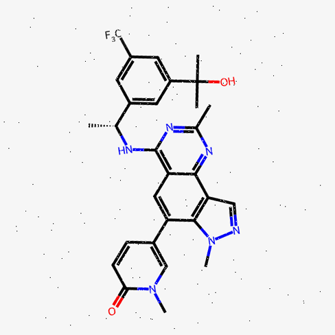 Cc1nc(N[C@H](C)c2cc(C(C)(C)O)cc(C(F)(F)F)c2)c2cc(-c3ccc(=O)n(C)c3)c3c(cnn3C)c2n1